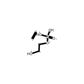 C=C.O=P(O)(O)OCCO